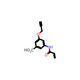 C#CCOc1cc(NC(=O)C=C)cc(C(=O)O)c1